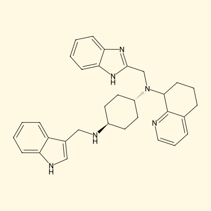 c1cnc2c(c1)CCCC2N(Cc1nc2ccccc2[nH]1)[C@H]1CC[C@H](NCc2c[nH]c3ccccc23)CC1